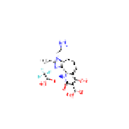 Cc1nc2c(n1CCN)CCCc1c-2[nH]c(=O)c(C(=O)O)c1O.O=C(O)C(F)(F)F